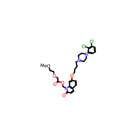 COCCOCC(=O)OCn1c(=O)ccc2ccc(OCCCCN3CCN(c4cccc(Cl)c4Cl)CC3)cc21